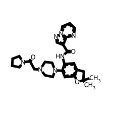 CC1(C)Cc2cc(NC(=O)c3cnn4cccnc34)c(N3CCN(CC(=O)N4CCCC4)CC3)cc2O1